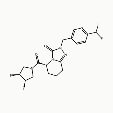 O=C([C@@H]1CCCc2nn(Cc3ccc(C(F)F)nc3)c(=O)n21)N1C[C@@H](F)[C@@H](F)C1